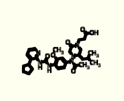 COc1cc(N(C(C)=O)N2CC(=O)N(CCC(=O)O)CC2CC(C)C)ccc1NC(=O)Nc1ncccc1C1CCCC1